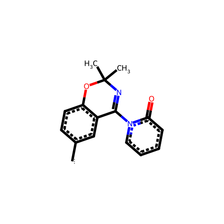 [C]c1ccc2c(c1)C(n1ccccc1=O)=NC(C)(C)O2